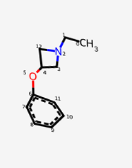 CCN1CC(Oc2ccccc2)C1